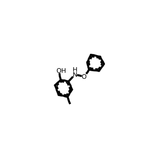 Cc1ccc(O)c(NOc2ccccc2)c1